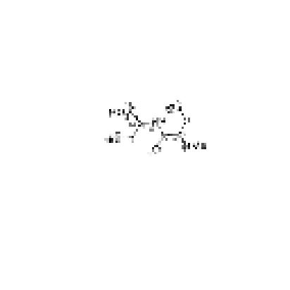 CN[C@H](CC(C)(C)C)C(=O)N[C@@H](CC(C)(C)C)C(=O)O